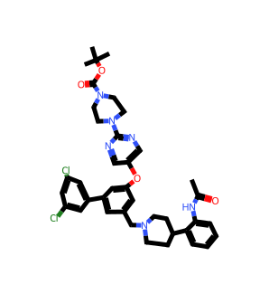 CC(=O)Nc1ccccc1C1CCN(Cc2cc(Oc3cnc(N4CCN(C(=O)OC(C)(C)C)CC4)nc3)cc(-c3cc(Cl)cc(Cl)c3)c2)CC1